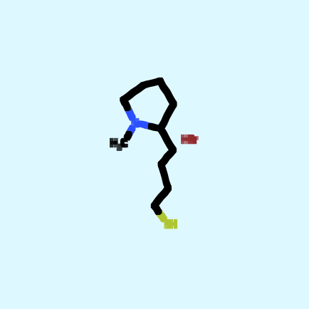 Br.CN1CCCCC1CCCCS